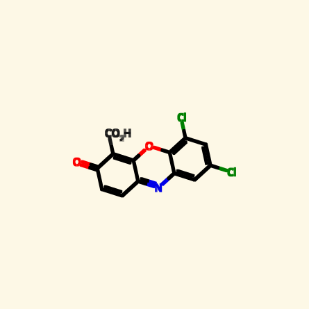 O=C(O)c1c2oc3c(Cl)cc(Cl)cc3nc-2ccc1=O